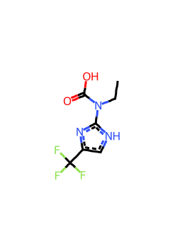 CCN(C(=O)O)c1nc(C(F)(F)F)c[nH]1